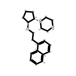 c1ccc2c(CCO[C@H]3CCC[C@@H]3N3CCOCC3)cccc2c1